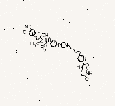 CC1(C)C(NC(=O)c2ccc(N3CCN(CCCCOc4ccc(C(=O)N[C@@H]5CCC(=O)NC5=O)nc4)CC3)nc2)C(C)(C)C1Oc1ccc(C#N)c(Cl)c1